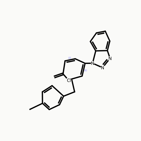 C=C(Cl)/C=C\C(=C/CCc1ccc(C)cc1)n1nnc2ccccc21